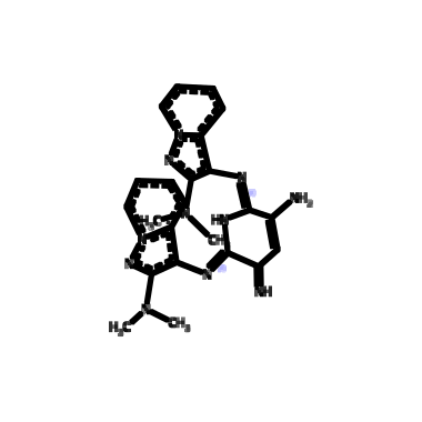 CN(C)c1nn2ccccc2c1/N=C1\N/C(=N\c2c(N(C)C)nn3ccccc23)C(N)=CC1=N